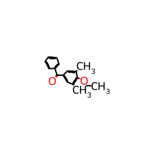 CCOc1c(C)cc(C(=O)c2ccccc2)cc1C